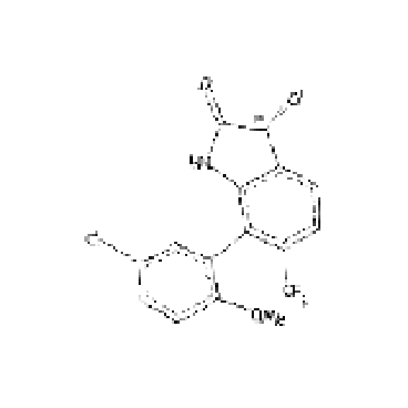 COc1ccc(Cl)cc1-c1c(C(F)(F)F)ccc2c1NC(=O)[C@@H]2Cl